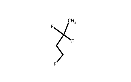 CC(F)(F)[CH]CF